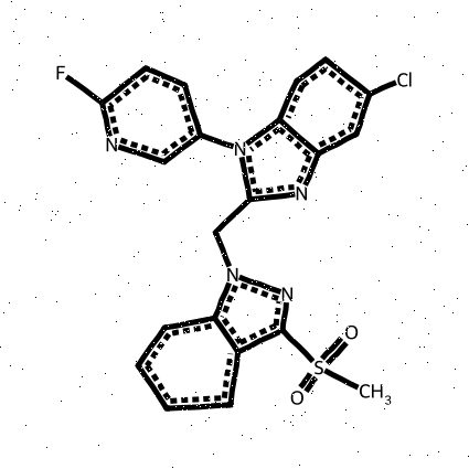 CS(=O)(=O)c1nn(Cc2nc3cc(Cl)ccc3n2-c2ccc(F)nc2)c2ccccc12